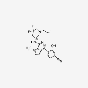 Cn1ccc2c(-c3ccc(C#N)cc3O)nnc(N[C@H]3CN(CCF)CC(F)(F)C3)c21